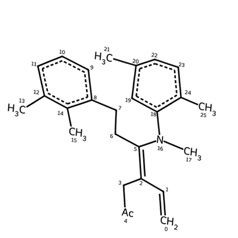 C=C/C(CC(C)=O)=C(/CCc1cccc(C)c1C)N(C)c1cc(C)ccc1C